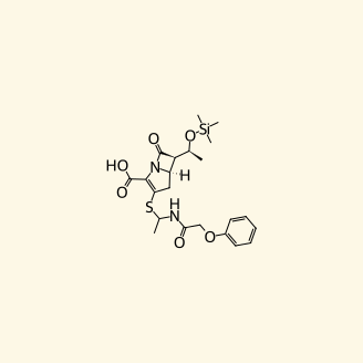 CC(NC(=O)COc1ccccc1)SC1=C(C(=O)O)N2C(=O)[C@@H]([C@H](C)O[Si](C)(C)C)[C@H]2C1